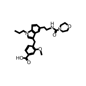 CCCn1cc(Cc2ccc(C(=O)O)cc2OC)c2cc(CCNC(=O)N3CCOCC3)ccc21